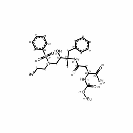 CC(C)CCN(C[C@@H](O)[C@](C)(Cc1ccccc1)NC(=O)C[C@H](NC(=O)OC(C)(C)C)C(N)=O)S(=O)(=O)c1ccccc1